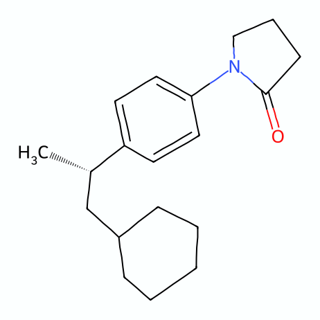 C[C@@H](CC1CCCCC1)c1ccc(N2CCCC2=O)cc1